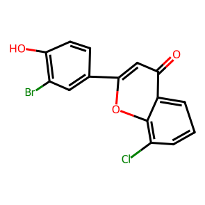 O=c1cc(-c2ccc(O)c(Br)c2)oc2c(Cl)cccc12